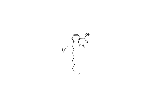 CCCCCCCC(CC)c1cccc(C(=O)O)c1C